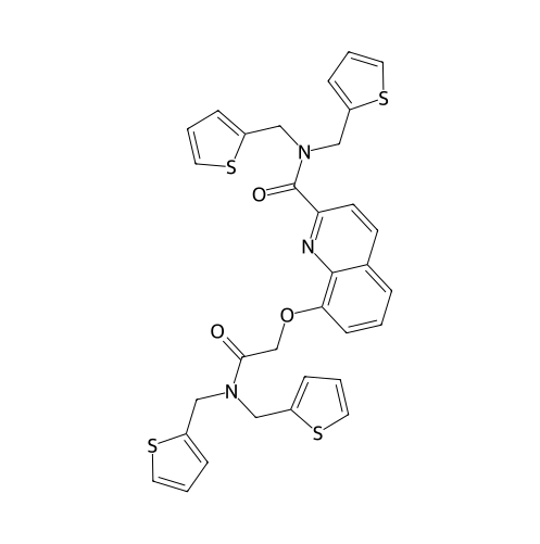 O=C(COc1cccc2ccc(C(=O)N(Cc3cccs3)Cc3cccs3)nc12)N(Cc1cccs1)Cc1cccs1